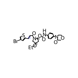 CCO[C@@H]1C[C@@H](OC(=O)Nc2ccc(N3CCOCC3=O)cc2)N(C(=O)/C=C/c2cc(Br)cs2)C1